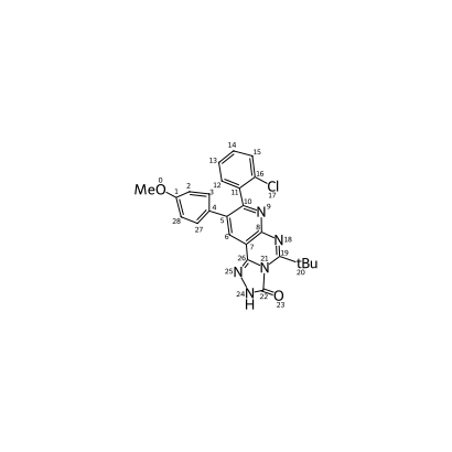 COc1ccc(-c2cc3c(nc2-c2ccccc2Cl)nc(C(C)(C)C)n2c(=O)[nH]nc32)cc1